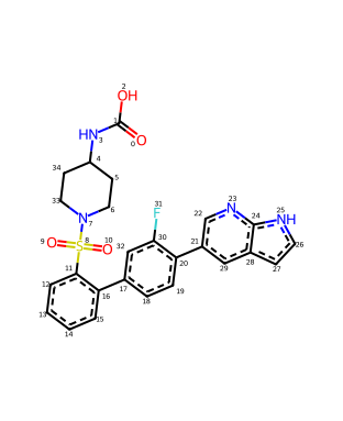 O=C(O)NC1CCN(S(=O)(=O)c2ccccc2-c2ccc(-c3cnc4[nH]ccc4c3)c(F)c2)CC1